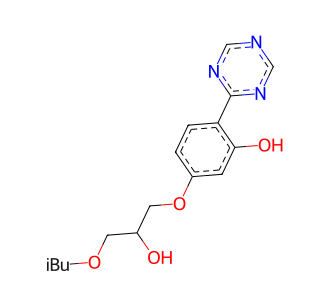 CCC(C)OCC(O)COc1ccc(-c2ncncn2)c(O)c1